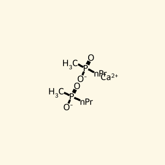 CCCP(C)(=O)[O-].CCCP(C)(=O)[O-].[Ca+2]